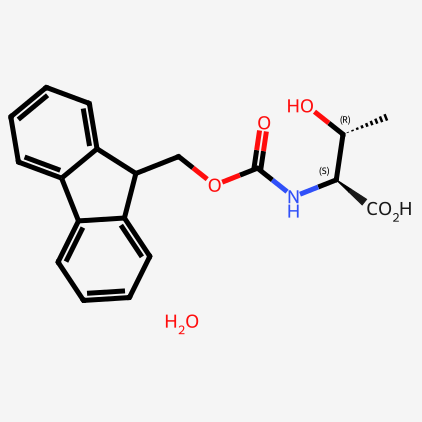 C[C@@H](O)[C@H](NC(=O)OCC1c2ccccc2-c2ccccc21)C(=O)O.O